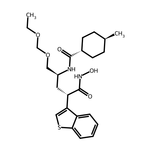 CCOCOC[C@H](C[C@H](C(=O)NO)c1csc2ccccc12)NC(=O)[C@H]1CC[C@H](C)CC1